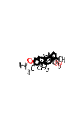 C#C[C@]1(O)CC[C@H]2[C@@H]3CCC4=CC(=O)C(C)C(C)[C@]4(C)[C@H]3CC[C@@]21C